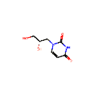 O=c1ccn(C[C@H](O)CO)c(=O)[nH]1